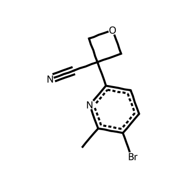 Cc1nc(C2(C#N)COC2)ccc1Br